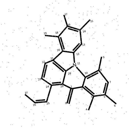 C=c1c2c(C)c(C)cc(C)c2n2c3cc(C)c(C)c(C)c3c3ccc(/C=C\C)c1c32